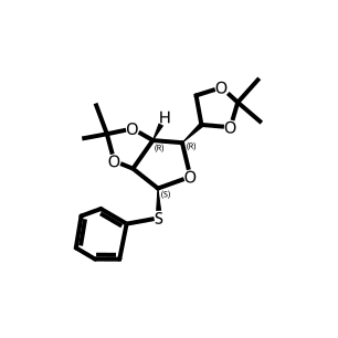 CC1(C)OCC([C@H]2O[C@@H](Sc3ccccc3)C3OC(C)(C)O[C@@H]32)O1